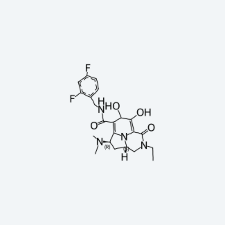 CCN1C[C@@H]2C[C@@H](N(C)C)C3=C(C(=O)NCc4ccc(F)cc4F)C(O)C(O)=C(C1=O)N32